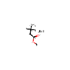 COC(=O)CC(C)(C)[SiH3].[NaH]